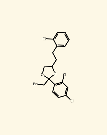 Clc1ccc(C2(CBr)OCC(CCc3ccccc3Cl)O2)c(Cl)c1